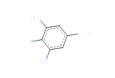 Cc1cc(S(=O)(=O)O)cc(N)c1F